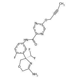 CC#CCOc1cnc(C(=O)Nc2ccc(F)c([C@]3(C(F)F)COCC(N)=N3)c2)cn1